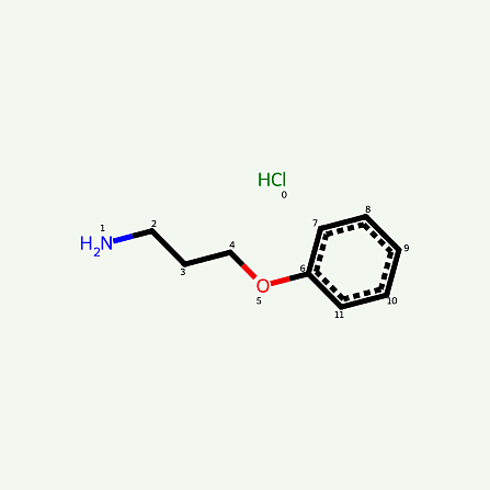 Cl.NCCCOc1ccccc1